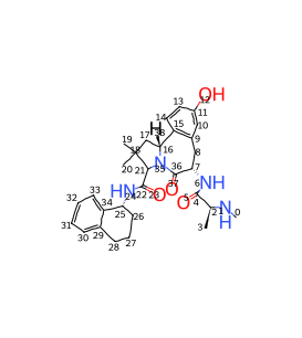 CN[C@@H](C)C(=O)N[C@H]1Cc2cc(O)ccc2[C@H]2CC(C)(C)C(C(=O)N[C@@H]3CCCc4ccccc43)N2C1=O